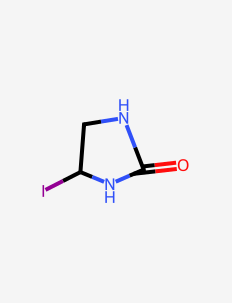 O=C1NCC(I)N1